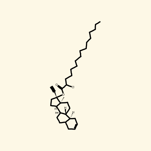 C#C[C@]1(OC(=O)C(Cl)CCCCCCCCCCCCCC)CC[C@H]2[C@@H]3CCC4CC=CC[C@@H]4[C@H]3CC[C@@]21C